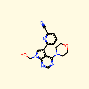 N#Cc1cccc(-c2cn(CO)c3ncnc(N4CCOCC4)c23)n1